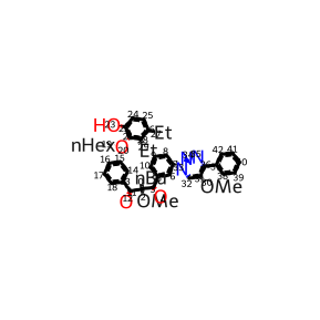 CCCCC(OC)(C(=O)c1ccccc1)C(=O)c1ccccc1.CCCCCCOc1c(O)ccc(CC)c1CC.COc1cnnnc1-c1ccccc1